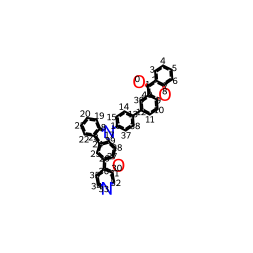 O=c1c2ccccc2oc2ccc(-c3ccc(-n4c5ccccc5c5cc6c(cc54)oc4cnccc46)cc3)cc12